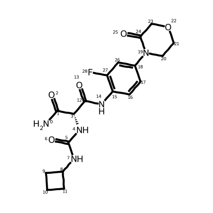 NC(=O)[C@@H](NC(=O)NC1CCC1)C(=O)Nc1ccc(N2CCOCC2=O)cc1F